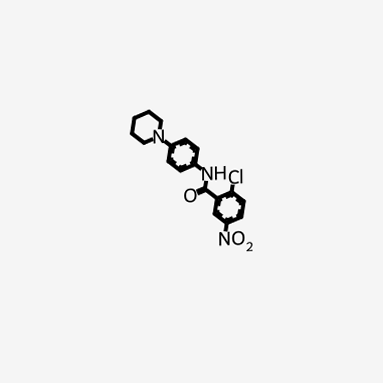 O=C(Nc1ccc(N2CCCCC2)cc1)c1cc([N+](=O)[O-])ccc1Cl